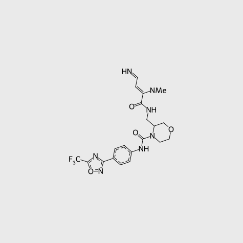 CN/C(=C\C=N)C(=O)NCC1COCCN1C(=O)Nc1ccc(-c2noc(C(F)(F)F)n2)cc1